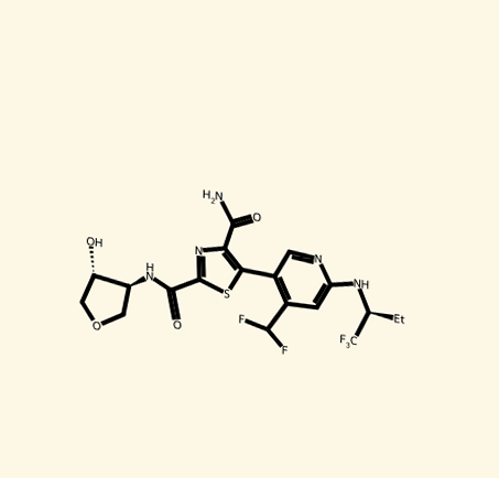 CC[C@H](Nc1cc(C(F)F)c(-c2sc(C(=O)N[C@H]3COC[C@@H]3O)nc2C(N)=O)cn1)C(F)(F)F